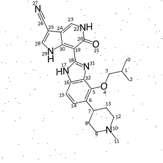 CC(C)COc1c(C2CCN(C)CC2)ccc2[nH]c(-c3c(=O)[nH]cc4c(C#N)c[nH]c34)nc12